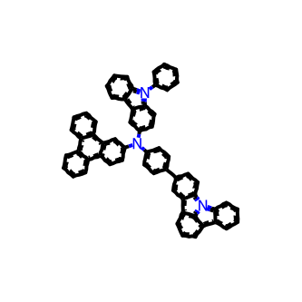 c1ccc(-n2c3ccccc3c3cc(N(c4ccc(-c5ccc6c(c5)c5cccc7c8ccccc8n6c75)cc4)c4ccc5c6ccccc6c6ccccc6c5c4)ccc32)cc1